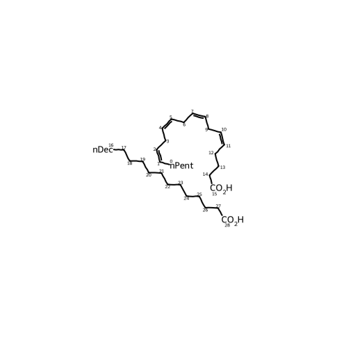 CCCCC/C=C\C/C=C\C/C=C\C/C=C\CCCC(=O)O.CCCCCCCCCCCCCCCCCCCCCC(=O)O